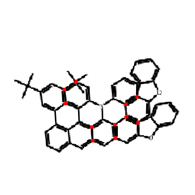 CC(C)(C)c1cc(-c2cccc3cccc(-c4ccccc4N(c4ccccc4-c4ccc5oc6ccccc6c5c4)c4ccccc4-c4cccc5oc6ccccc6c45)c23)cc(C(C)(C)C)c1